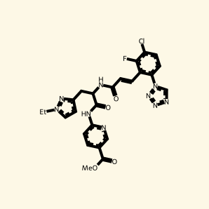 CCn1ccc(CC(NC(=O)C=Cc2c(-n3cnnn3)ccc(Cl)c2F)C(=O)Nc2ccc(C(=O)OC)cn2)n1